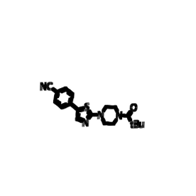 CC(C)(C)C(=O)N1CCN(c2ncc(-c3ccc(C#N)cc3)s2)CC1